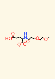 COCCOCCC(=O)NC(CCC(=O)O)C(=O)OC